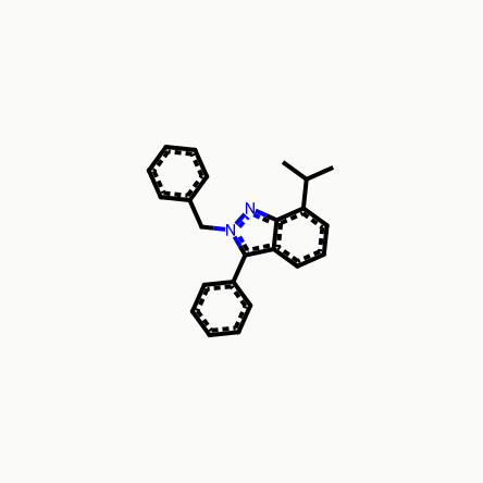 CC(C)c1cccc2c(-c3ccccc3)n(Cc3ccccc3)nc12